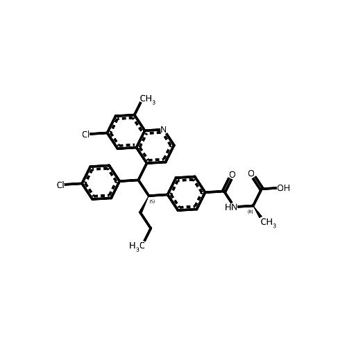 CCC[C@H](c1ccc(C(=O)N[C@H](C)C(=O)O)cc1)C(c1ccc(Cl)cc1)c1ccnc2c(C)cc(Cl)cc12